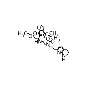 CCOC(=O)C[C@H](NCCN(CCCc1ccc2c(n1)NCCC2)C(=O)OC(C)(C)C)c1ccc2c(c1)OCC2